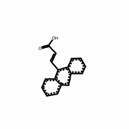 O=C(O)C=Cc1c2ccccc2cc2ccccc12